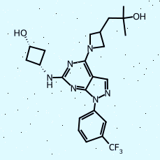 CC(C)(O)CC1CN(c2nc(N[C@H]3C[C@@H](O)C3)nc3c2cnn3-c2cccc(C(F)(F)F)c2)C1